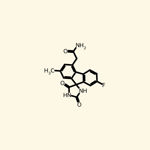 Cc1cc(CC(N)=O)c2c(c1)C1(NC(=O)NC1=O)c1cc(F)ccc1-2